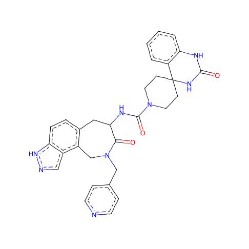 O=C1Nc2ccccc2C2(CCN(C(=O)NC3Cc4ccc5[nH]ncc5c4CN(Cc4ccncc4)C3=O)CC2)N1